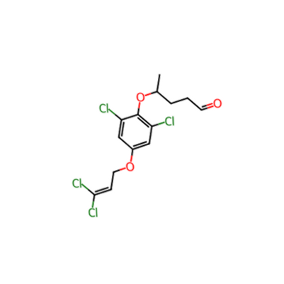 CC(CCC=O)Oc1c(Cl)cc(OCC=C(Cl)Cl)cc1Cl